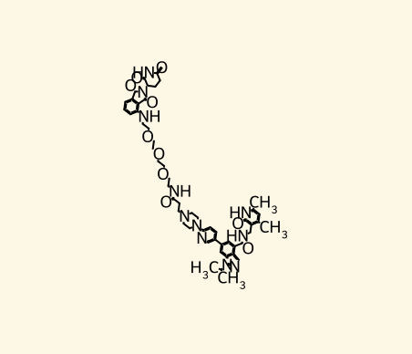 Cc1cc(C)c(CNC(=O)c2cc(-c3ccc(N4CCN(CCC(=O)NCCOCCOCCOCCNc5cccc6c5C(=O)N(C5CCC(=O)NC5=O)C6=O)CC4)nc3)cc3c2cnn3C(C)C)c(=O)[nH]1